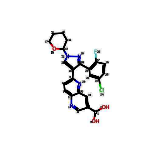 OB(O)c1cnc2ccc(-c3cn(C4CCCCO4)nc3-c3cc(Cl)ccc3F)nc2c1